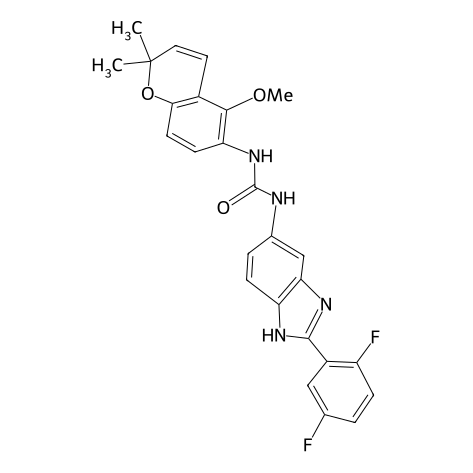 COc1c(NC(=O)Nc2ccc3[nH]c(-c4cc(F)ccc4F)nc3c2)ccc2c1C=CC(C)(C)O2